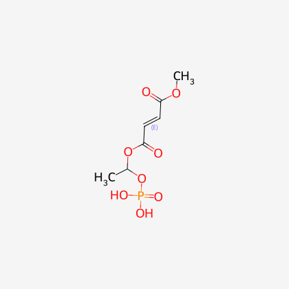 COC(=O)/C=C/C(=O)OC(C)OP(=O)(O)O